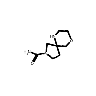 NC(=O)N1CCC2(COCCN2)C1